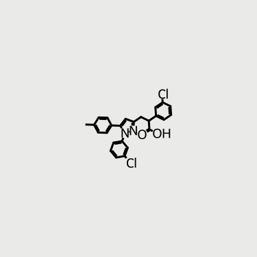 Cc1ccc(-c2cc(CC(C(=O)O)c3cccc(Cl)c3)nn2-c2cccc(Cl)c2)cc1